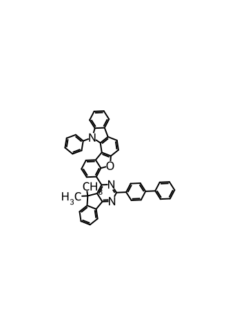 CC1(C)c2ccccc2-c2nc(-c3ccc(-c4ccccc4)cc3)nc(-c3cccc4c3oc3ccc5c6ccccc6n(-c6ccccc6)c5c34)c21